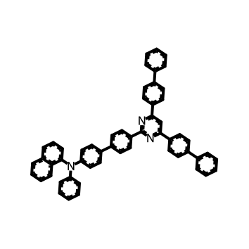 c1ccc(-c2ccc(-c3cc(-c4ccc(-c5ccccc5)cc4)nc(-c4ccc(-c5ccc(N(c6ccccc6)c6cccc7ccccc67)cc5)cc4)n3)cc2)cc1